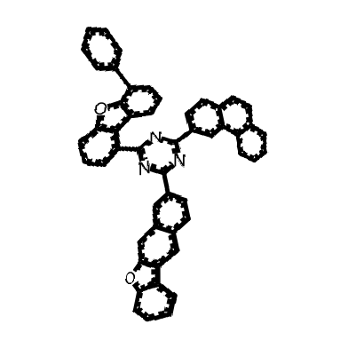 c1ccc(-c2cccc3c2oc2cccc(-c4nc(-c5ccc6cc7c(cc6c5)oc5ccccc57)nc(-c5ccc6ccc7ccccc7c6c5)n4)c23)cc1